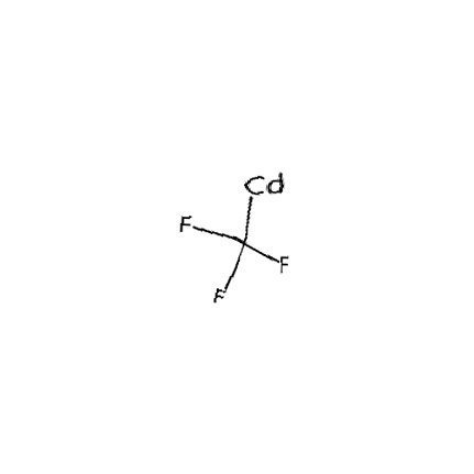 F[C](F)(F)[Cd]